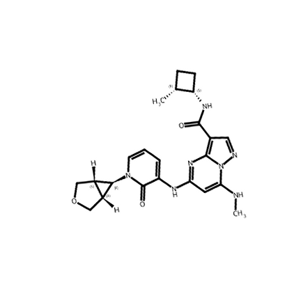 CNc1cc(Nc2cccn([C@H]3[C@@H]4COC[C@@H]43)c2=O)nc2c(C(=O)N[C@H]3CC[C@H]3C)cnn12